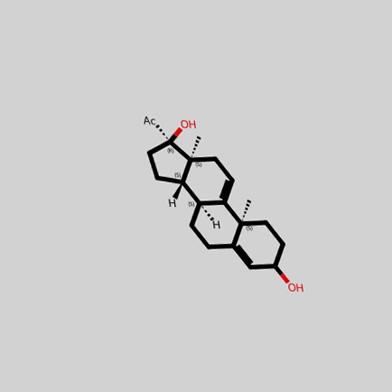 CC(=O)[C@@]1(O)CC[C@H]2[C@@H]3CCC4=CC(O)CC[C@]4(C)C3=CC[C@@]21C